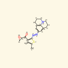 CC(=O)c1sc(N=Nc2cc3c4c(c2)CCCN4CCC3)c(C(=O)C2CO2)c1C